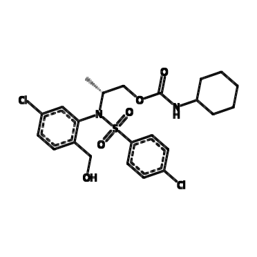 C[C@H](COC(=O)NC1CCCCC1)N(c1cc(Cl)ccc1CO)S(=O)(=O)c1ccc(Cl)cc1